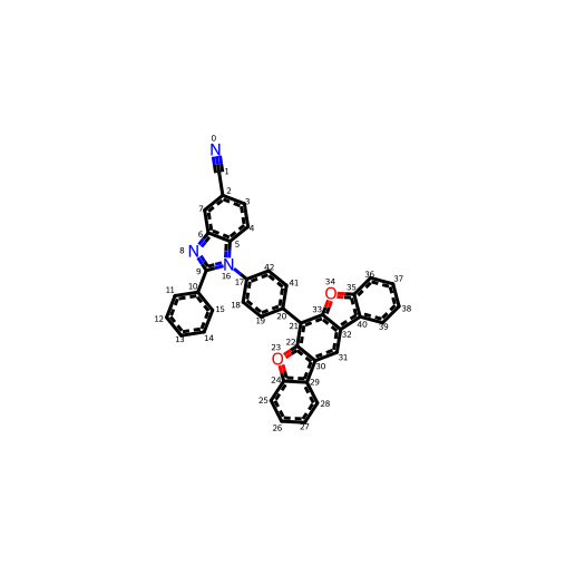 N#Cc1ccc2c(c1)nc(-c1ccccc1)n2-c1ccc(-c2c3oc4ccccc4c3cc3c2oc2ccccc23)cc1